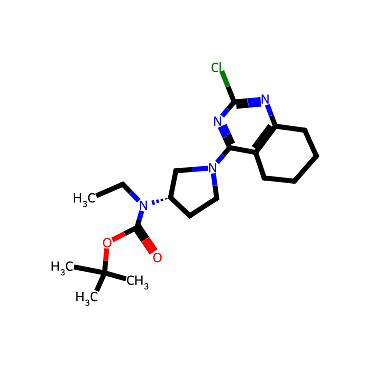 CCN(C(=O)OC(C)(C)C)[C@H]1CCN(c2nc(Cl)nc3c2CCCC3)C1